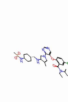 CCN(C(=O)c1cc(F)ccc1Oc1cncnc1N1CC(C)C(NC[C@H]2CC[C@H](NS(C)(=O)=O)CC2)C1)C(C)C